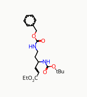 CCOC(=O)/C=C/C(CCNC(=O)OCc1ccccc1)NC(=O)OC(C)(C)C